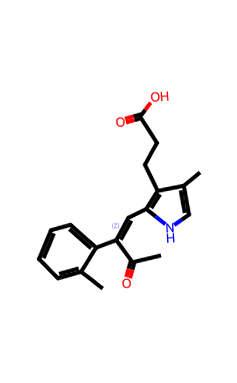 CC(=O)/C(=C\c1[nH]cc(C)c1CCC(=O)O)c1ccccc1C